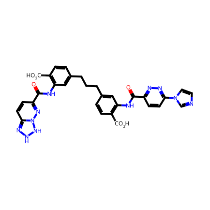 O=C(Nc1cc(CCCc2ccc(C(=O)O)c(NC(=O)c3ccc(-n4ccnc4)nn3)c2)ccc1C(=O)O)C1=NN2NNN=C2C=C1